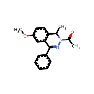 COc1ccc2c(c1)C(c1ccccc1)=NN(C(C)=O)C2C